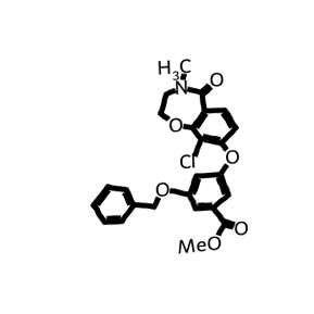 COC(=O)c1cc(OCc2ccccc2)cc(Oc2ccc3c(c2Cl)OCCN(C)C3=O)c1